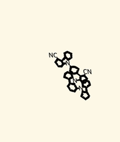 N#Cc1cccc(-n2c3ccccc3c3cccc(-n4c5ccccc5c5ccccc54)c32)c1-c1ccc(-n2c3ccccc3c3c(C#N)cccc32)cc1